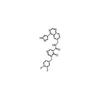 O=C(NCc1ccc2ncnc(-c3cn[nH]c3)c2c1)c1cncn(Cc2ccc(F)c(F)c2)c1=O